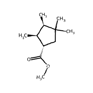 COC(=O)[C@H]1CC(C)(C)[C@H](C)[C@@H]1C